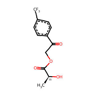 C[C@H](O)C(=O)OCC(=O)c1ccc(C(F)(F)F)cc1